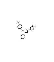 CC(C)(C)c1ccc(C2Oc3cc(Br)ccc3-c3cc(-c4ccc(N)c(N)c4)nn32)cc1